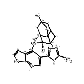 Nc1nnc(-c2cnc3[nH]ccc3c2N[C@@H]2[C@@H]3CC4C[C@H]2CC(O)(C4)C3)s1